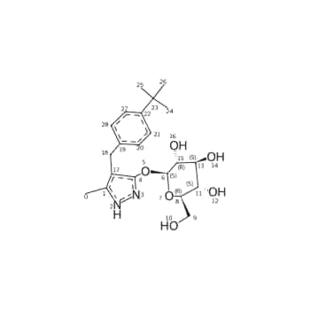 Cc1[nH]nc(O[C@@H]2O[C@H](CO)[C@@H](O)[C@H](O)[C@H]2O)c1Cc1ccc(C(C)(C)C)cc1